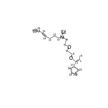 C/C=C(\OCCOCCN(CC)CCCC#CC(C)(C)C)c1ccsc1